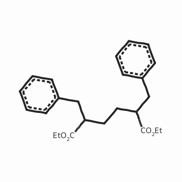 CCOC(=O)C(CCC(Cc1ccccc1)C(=O)OCC)Cc1ccccc1